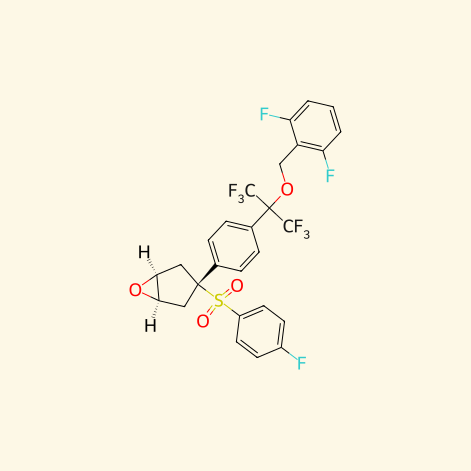 O=S(=O)(c1ccc(F)cc1)[C@@]1(c2ccc(C(OCc3c(F)cccc3F)(C(F)(F)F)C(F)(F)F)cc2)C[C@@H]2O[C@@H]2C1